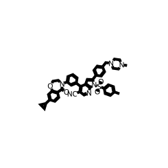 Cc1ccc(S(=O)(=O)n2c(-c3ccc(CN4CCN(C)CC4)cc3)cc3c(-c4cccc(N5CCOc6cc(C7CC7)ccc6C5=O)c4)c(C#N)cnc32)cc1